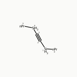 CCC[SiH2]C#C[SiH2]CCC